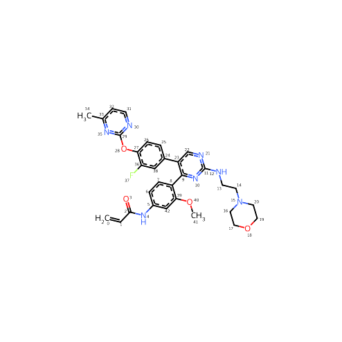 C=CC(=O)Nc1ccc(-c2nc(NCCN3CCOCC3)ncc2-c2ccc(Oc3nccc(C)n3)c(F)c2)c(OC)c1